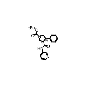 CC(C)(C)OC(=O)N1C[C@@H](C(=O)Nc2cccnc2)[C@H](c2ccccc2)C1